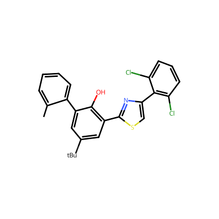 Cc1ccccc1-c1cc(C(C)(C)C)cc(-c2nc(-c3c(Cl)cccc3Cl)cs2)c1O